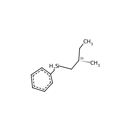 CC[C@H](C)C[SiH2]c1ccccc1